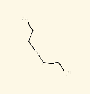 CCC(C)C[CH2][Zn][CH2]CC(C)CC